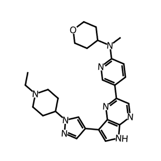 CCN1CCC(n2cc(-c3c[nH]c4ncc(-c5ccc(N(C)C6CCOCC6)nc5)nc34)cn2)CC1